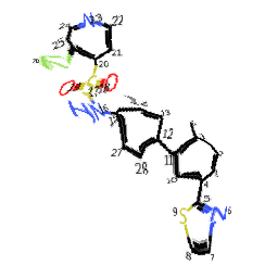 Cc1ccc(-c2nccs2)cc1-c1ccc(NS(=O)(=O)c2ccncc2F)cc1